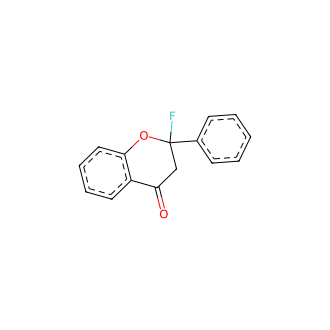 O=C1CC(F)(c2ccccc2)Oc2ccccc21